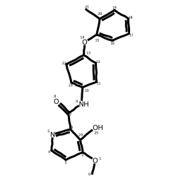 COc1ccnc(C(=O)Nc2ccc(Oc3ccccc3C)cc2)c1O